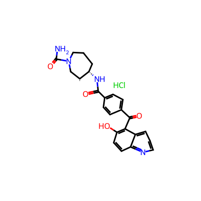 Cl.NC(=O)N1C[CH][C@@H](NC(=O)c2ccc(C(=O)c3c(O)ccc4ncccc34)cc2)CCC1